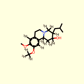 [2H]c1c2c(c([2H])c(OC([2H])([2H])[2H])c1OC)C1([2H])N(CC2)C([2H])([2H])C([2H])(CC(C)C)C([2H])(O)C1([2H])[2H]